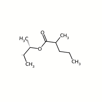 C[CH][C@H](C)OC(=O)C(C)CCC